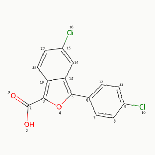 O=C(O)c1oc(-c2ccc(Cl)cc2)c2cc(Cl)ccc12